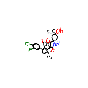 Cc1ccc(-c2ccc(Cl)c(F)c2)c(C)c1C1=C(O)[C@]2(CC[C@](O)(C(F)(F)F)CC2)NC1=O